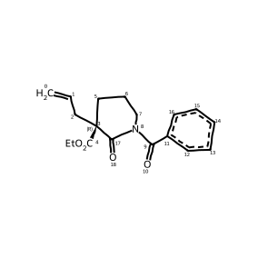 C=CC[C@]1(C(=O)OCC)CCCN(C(=O)c2ccccc2)C1=O